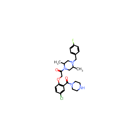 CC1CN(C(=O)COc2ccc(Cl)cc2C(=O)N2CCNCC2)C(C)CN1Cc1ccc(F)cc1